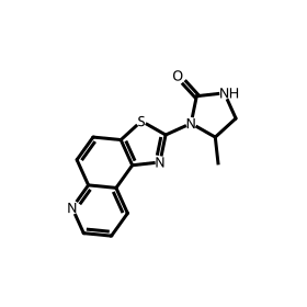 CC1CNC(=O)N1c1nc2c(ccc3ncccc32)s1